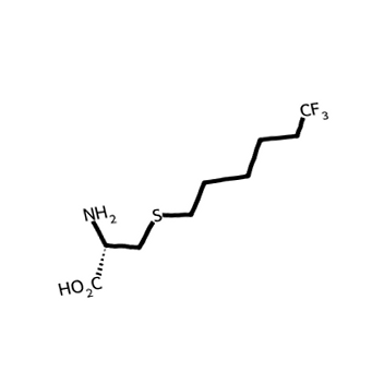 N[C@H](CSCCCCCC(F)(F)F)C(=O)O